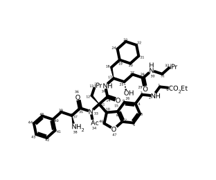 CCOC(=O)CNCc1ccc2c(c1)C([C@@](CC(C)C)(C(=O)N[C@@H](CC1CCCCC1)[C@@H](O)CC(=O)NCC(C)C)N(C(C)=O)C(=O)[C@@H](N)Cc1ccccc1)CO2